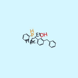 CCC(C)(Pc1ccccc1C(C)=O)c1cccc(Cc2ccccc2)c1O